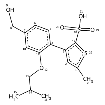 Cc1cc(-c2ccc(CO)cc2OCC(C)C)c(S(=O)(=O)O)s1